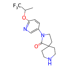 CC(Oc1ccc(N2CCC3(CCNCC3)C2=O)cn1)C(F)(F)F